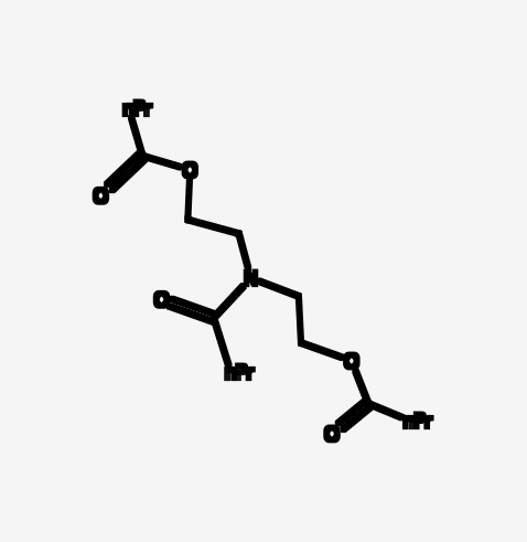 CCCC(=O)OCCN(CCOC(=O)CCC)C(=O)CCC